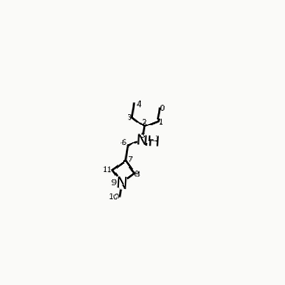 CCC(CC)NCC1CN(C)C1